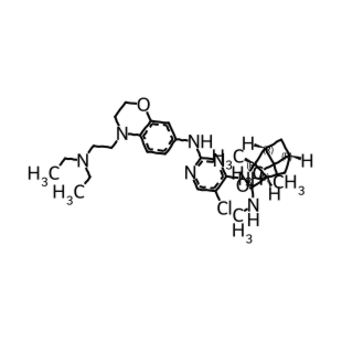 CCN(CC)CCN1CCOc2cc(Nc3ncc(Cl)c(N[C@@]4(C)[C@@H](C(=O)NC)C[C@H]5C[C@@H]4C5(C)C)n3)ccc21